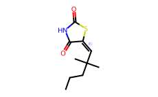 CCCC(C)(C)/C=C1/SC(=O)NC1=O